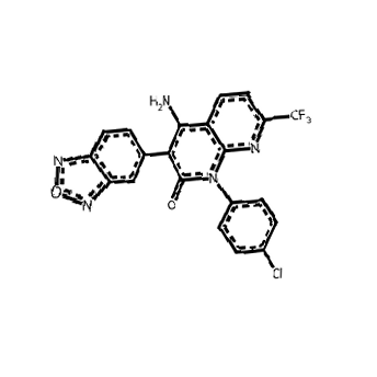 Nc1c(-c2ccc3nonc3c2)c(=O)n(-c2ccc(Cl)cc2)c2nc(C(F)(F)F)ccc12